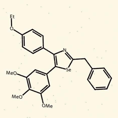 CCOc1ccc(-c2nc(Cc3ccccc3)[se]c2-c2cc(OC)c(OC)c(OC)c2)cc1